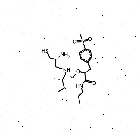 C[CH]CNC(=O)[C@H](Cc1ccc(S(C)(=O)=O)cc1)OC[C@@H](NC[C@@H](N)CS)[C@@H](C)CC